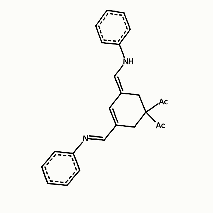 CC(=O)C1(C(C)=O)CC(C=Nc2ccccc2)=C/C(=C/Nc2ccccc2)C1